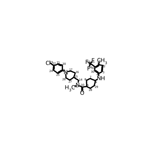 Cc1ccc(NC2CCC(C(=O)N(C)CC3CCN(c4ccc(Cl)cc4)CC3)CC2)cc1C(F)(F)F